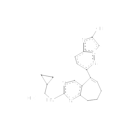 Cc1cn2nc(C3=CCCCc4nc(N[C@H](C)C5CC5)ncc43)ccc2n1